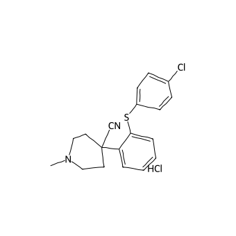 CN1CCC(C#N)(c2ccccc2Sc2ccc(Cl)cc2)CC1.Cl